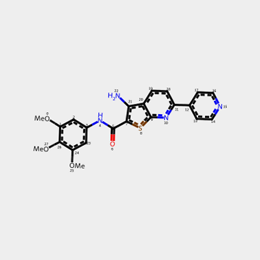 COc1cc(NC(=O)c2sc3nc(-c4ccncc4)ccc3c2N)cc(OC)c1OC